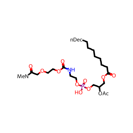 CCCCCCCCCCCCCCCCCC(=O)OCC(COP(=O)(O)OCCNC(=O)OCCOCC(=O)NC)OC(C)=O